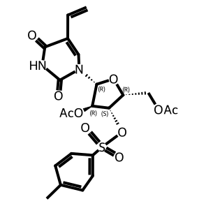 C=Cc1cn([C@@H]2O[C@H](COC(C)=O)[C@H](OS(=O)(=O)c3ccc(C)cc3)[C@H]2OC(C)=O)c(=O)[nH]c1=O